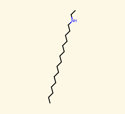 CCCCCCCCCCCCCCC[CH]NCC